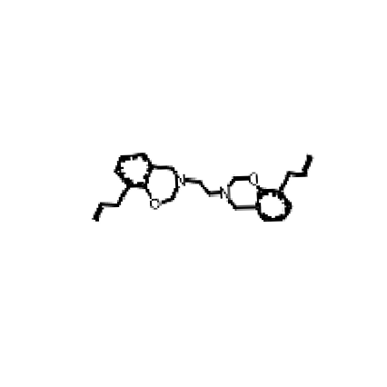 C=CCc1cccc2c1OCN(CCN1COc3c(CC=C)cccc3C1)C2